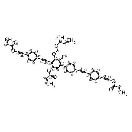 C=CC(=C)OCOc1c(F)c(-c2ccc(C#Cc3ccc(C#COC(=O)C=C)cc3)cc2)cc(OC(=O)C=C)c1C#Cc1ccc(C#COC(=O)C=C)cc1